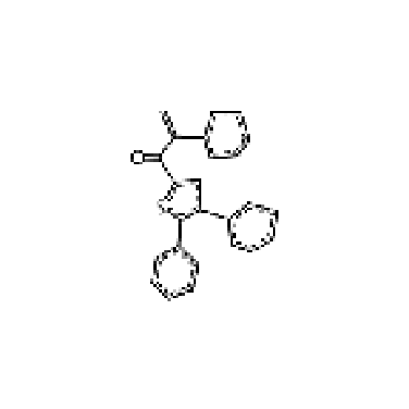 C=C(C(=O)c1cc(-c2ccccc2)c(-c2ccccc2)s1)c1ccccc1